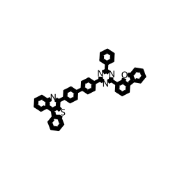 c1ccc(-c2nc(-c3ccc(-c4ccc(-c5nc6ccccc6c6c5sc5ccccc56)cc4)cc3)nc(-c3cccc4c3oc3ccccc34)n2)cc1